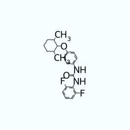 CC1CCCC(C)C1Oc1ccc(NC(=O)Nc2c(F)cccc2F)cc1